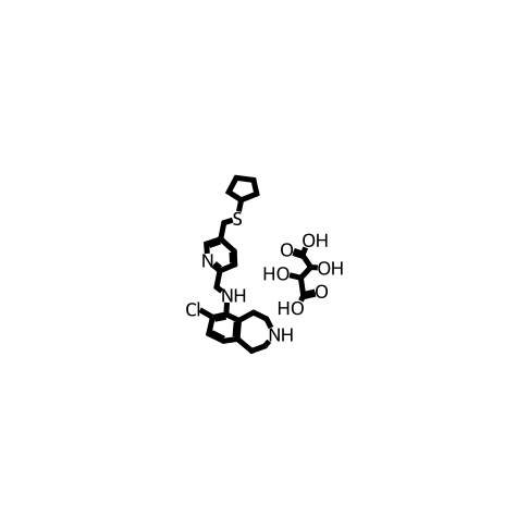 Clc1ccc2c(c1NCc1ccc(CSC3CCCC3)cn1)CCNCC2.O=C(O)C(O)C(O)C(=O)O